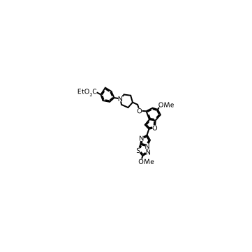 CCOC(=O)c1ccc(N2CCC(COc3cc(OC)cc4oc(-c5cn6nc(OC)sc6n5)cc34)CC2)cc1